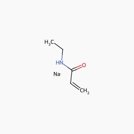 C=CC(=O)NCC.[Na]